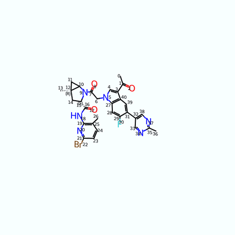 CC(=O)c1cn(CC(=O)N2C3C[C@]3(C)C[C@H]2C(=O)Nc2nc(Br)ccc2C)c2cc(F)c(-c3cnc(C)nc3)cc12